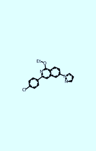 CCOc1nc(-c2ccc(Cl)cc2)cc2cc(-n3cccn3)ccc12